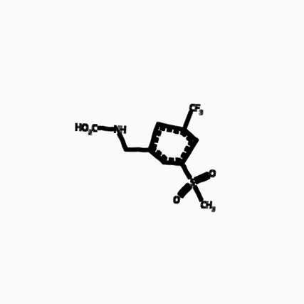 CS(=O)(=O)c1cc(CNC(=O)O)cc(C(F)(F)F)c1